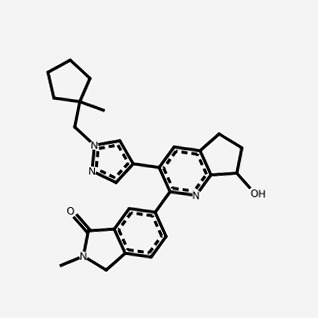 CN1Cc2ccc(-c3nc4c(cc3-c3cnn(CC5(C)CCCC5)c3)CCC4O)cc2C1=O